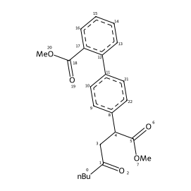 CCCCC(=O)CC(C(=O)OC)c1ccc(-c2ccccc2C(=O)OC)cc1